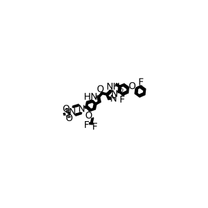 Cc1cc(Oc2ccccc2F)cc(F)c1-n1ncc(C(=O)c2cc3cc(OCC(F)F)c(N4CCN(S(C)(=O)=O)CC4)cc3[nH]2)c1N